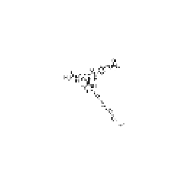 CC(C)CCOCCOCCOCCOCCC(=O)NC(C(=O)NC(CCCNC(N)=O)C(=O)Nc1ccc(COC(=O)C(C)(C)C)cc1)C(C)C